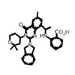 Cc1cc(C(C)Nc2ccccc2C(=O)O)c2nc(N3Cc4ccccc4C3)n(C3CCOC(C)(C)C3)c(=O)c2c1